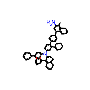 Cc1c(N)cc(-c2ccc(-c3ccc(N(c4ccc(-c5ccccc5)cc4)c4ccc5c(c4-c4ccccc4)C=CCC5)cc3C3=CCCC=C3)cc2)c2ccccc12